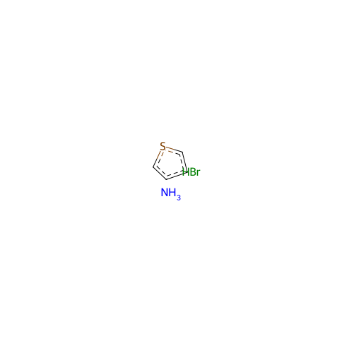 Br.N.c1ccsc1